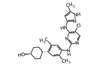 Cc1cc(Nc2nc(Nc3cc(C)c([C@H]4CC[C@H](O)CC4)cc3C)ncc2Cl)n[nH]1